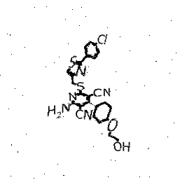 N#Cc1c(N)nc(SCc2csc(-c3ccc(Cl)cc3)n2)c(C#N)c1[C@H]1CC[C@@H](OCCO)CC1